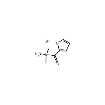 C[N+](C)(N)C(=O)c1ccco1.[Br-]